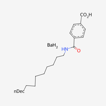 CCCCCCCCCCCCCCCCCCNC(=O)c1ccc(C(=O)O)cc1.[BaH2]